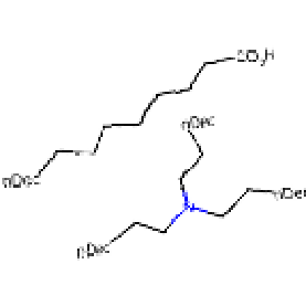 CCCCCCCCCCCCCCCCCC(=O)O.CCCCCCCCCCCCN(CCCCCCCCCCCC)CCCCCCCCCCCC